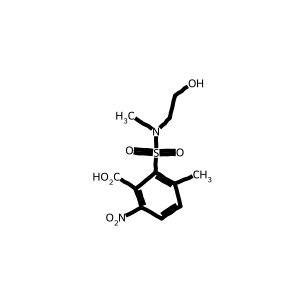 Cc1ccc([N+](=O)[O-])c(C(=O)O)c1S(=O)(=O)N(C)CCO